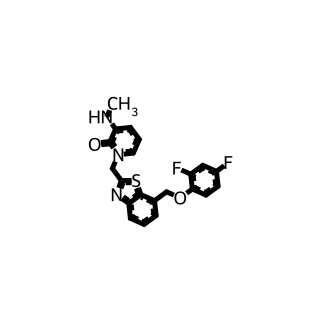 CNc1cccn(Cc2nc3cccc(COc4ccc(F)cc4F)c3s2)c1=O